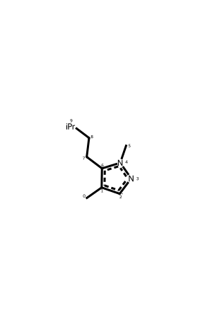 Cc1[c]nn(C)c1CCC(C)C